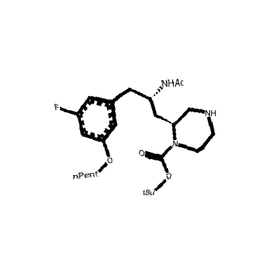 CCCCCOc1cc(F)cc(C[C@@H](C[C@H]2CNCCN2C(=O)OC(C)(C)C)NC(C)=O)c1